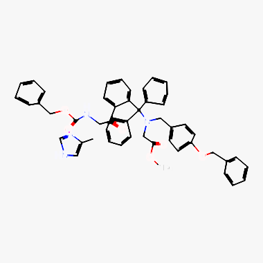 CC(C)(C)OC(=O)CN(Cc1ccc(OCc2ccccc2)cc1)C(c1ccccc1)(c1ccccc1)c1ccccc1C(=O)[C@H](Cc1c[nH]cn1)NC(=O)OCc1ccccc1